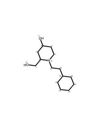 OCC1CC(O)CCN1CCC1CCCCC1